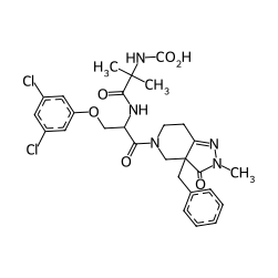 CN1N=C2CCN(C(=O)C(COc3cc(Cl)cc(Cl)c3)NC(=O)C(C)(C)NC(=O)O)CC2(Cc2ccccc2)C1=O